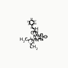 C=CCN(CC=C)c1nc(NC(=O)C=Cc2ccccc2)n2oc(=O)nc2n1